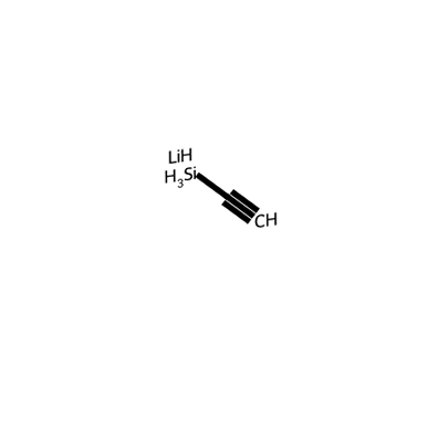 C#C[SiH3].[LiH]